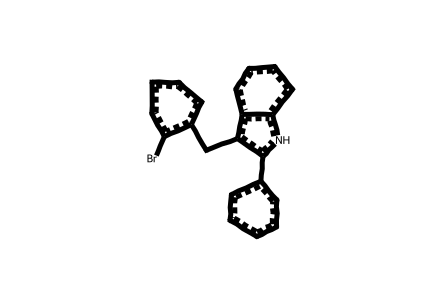 Brc1ccccc1Cc1c(-c2ccccc2)[nH]c2ccccc12